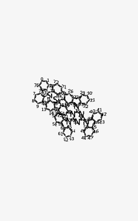 c1ccc([Si]2(c3ccccc3)c3ccccc3[Si](c3ccccc3)(c3ccc4c5ccccc5n(-c5nc(-n6c7ccccc7c7ccccc76)nc(-n6c7ccccc7c7ccccc76)n5)c4c3)c3ccccc32)cc1